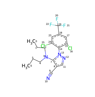 CCCN(CCC)c1c(C#N)cnn1-c1c(Cl)cc(C(F)(F)F)cc1Cl